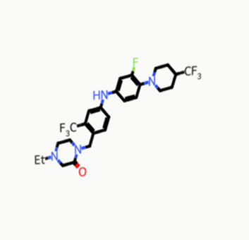 CCN1CCN(Cc2ccc(Nc3ccc(N4CCC(C(F)(F)F)CC4)c(F)c3)cc2C(F)(F)F)C(=O)C1